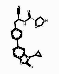 N#C[C@H](Cc1ccc(-c2ccc3oc(=O)n(C4CC4)c3c2)cc1)NC(=O)[C@@H]1CNCO1